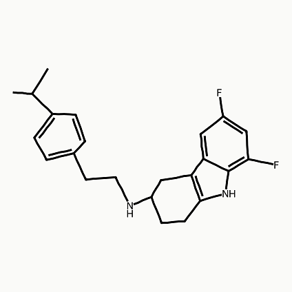 CC(C)c1ccc(CCNC2CCc3[nH]c4c(F)cc(F)cc4c3C2)cc1